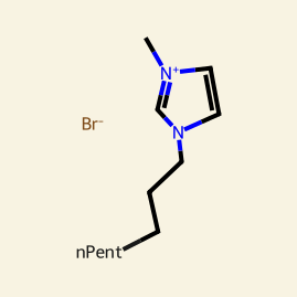 CCCCCCCCn1cc[n+](C)c1.[Br-]